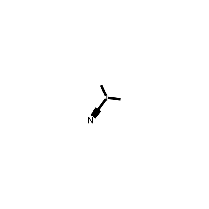 CI(C)C#N